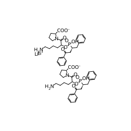 NCCCCC(OP(=O)(O)[C@H](CC(=O)c1ccccc1)Cc1ccccc1)C(=O)N1CCC[C@H]1C(=O)[O-].NCCCCC(OP(=O)(O)[C@H](CC(=O)c1ccccc1)Cc1ccccc1)C(=O)N1CCC[C@H]1C(=O)[O-].[Li+].[Li+]